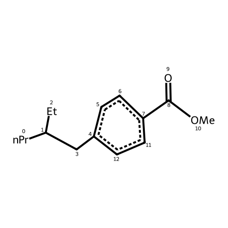 CCCC(CC)Cc1ccc(C(=O)OC)cc1